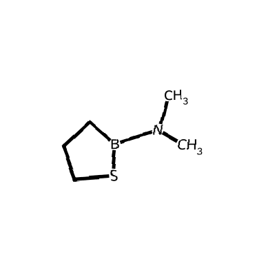 CN(C)B1CCCS1